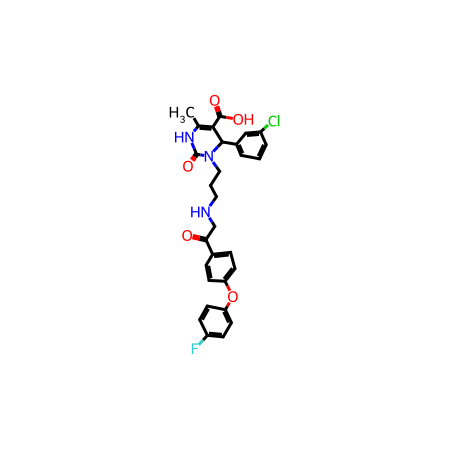 CC1=C(C(=O)O)C(c2cccc(Cl)c2)N(CCCNCC(=O)c2ccc(Oc3ccc(F)cc3)cc2)C(=O)N1